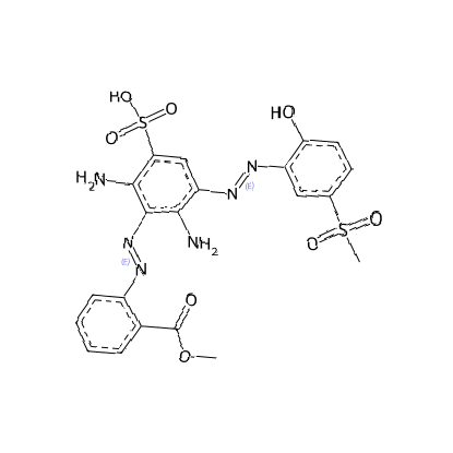 COC(=O)c1ccccc1/N=N/c1c(N)c(/N=N/c2cc(S(C)(=O)=O)ccc2O)cc(S(=O)(=O)O)c1N